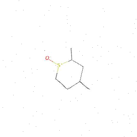 CC1CC[S+]([O-])C(C)C1